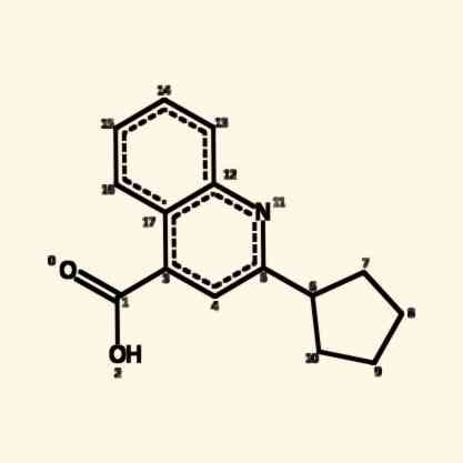 O=C(O)c1cc(C2CCCC2)nc2ccccc12